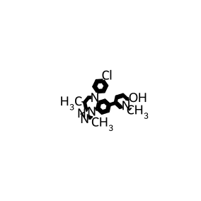 Cc1nnc2n1-c1ccc(C3=CN(C)C(O)C=C3)cc1N(c1ccc(Cl)cc1)C[C@H]2C